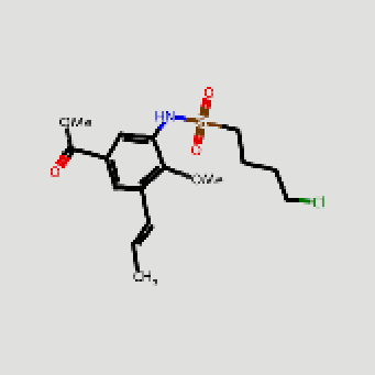 CC=Cc1cc(C(=O)OC)cc(NS(=O)(=O)CCCCCl)c1OC